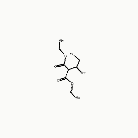 CC(C)CC(C(C)C)C(C(=O)OCC(C)(C)C)C(=O)OCC(C)(C)C